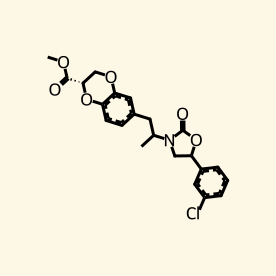 COC(=O)[C@@H]1COc2cc(CC(C)N3CC(c4cccc(Cl)c4)OC3=O)ccc2O1